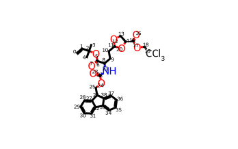 C=CC(C)(C)OC(=O)C(CCC1OC[C@@H](C(=O)OCC(Cl)(Cl)Cl)O1)NC(=O)OCC1c2ccccc2-c2ccccc21